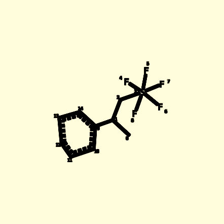 CC(CS(F)(F)(F)(F)F)c1ccccc1